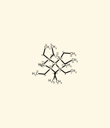 CC[N+](C)(CC)[Zr]([N+](C)(CC)CC)([N+](C)(CC)CC)[N+](C)(CC)CC